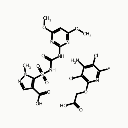 COc1cc(OC)nc(NC(=O)NS(=O)(=O)c2c(C(=O)O)cnn2C)n1.Nc1c(Cl)c(F)nc(OCC(=O)O)c1Cl